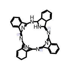 C1=CC2/C3=N/C4=NC(=N\c5[nH]c(c6c5CCC=C6)/N=C5\N=C(NC(N3)C2C=C1)c1ccccc15)/c1ccccc14